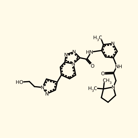 Cc1ncc(NC(=O)CN2CCCC2(C)C)cc1NC(=O)c1nnc2cc(-c3cnn(CCO)c3)ccn12